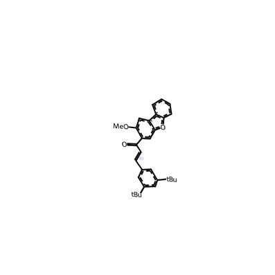 COc1cc2c(cc1C(=O)/C=C/c1cc(C(C)(C)C)cc(C(C)(C)C)c1)oc1ccccc12